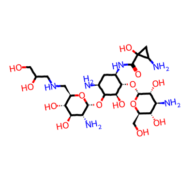 NC1CC1(O)C(=O)N[C@@H]1C[C@H](N)C(O[C@H]2O[C@H](CNCC(O)CO)[C@@H](O)[C@H](O)[C@H]2N)[C@H](O)[C@H]1O[C@H]1O[C@H](CO)[C@@H](O)[C@H](N)[C@H]1O